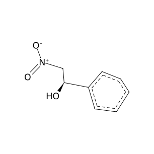 O=[N+]([O-])C[C@H](O)c1ccccc1